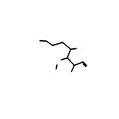 CCCCC(C)C(OC)C(C)C=O